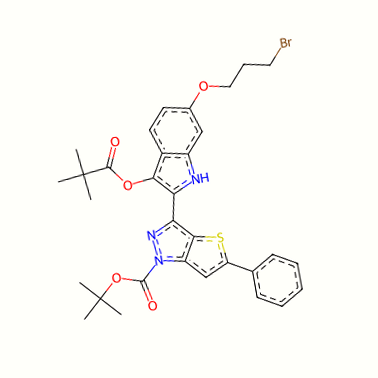 CC(C)(C)OC(=O)n1nc(-c2[nH]c3cc(OCCCBr)ccc3c2OC(=O)C(C)(C)C)c2sc(-c3ccccc3)cc21